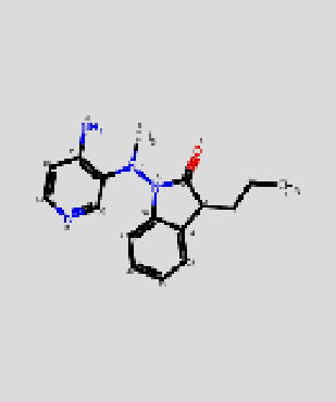 CCCC1C(=O)N(N(C)c2cnccc2N)c2ccccc21